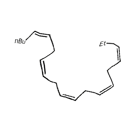 [CH2]C/C=C\C/C=C\C/C=C\C/C=C\C/C=C\CCCC